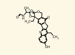 CCc1c2c(nc3ccc(O)cc13)-c1cc3c(c(=O)n1C2)COC(=O)[C@@]3(CC)OC(=O)C(C)NC=O